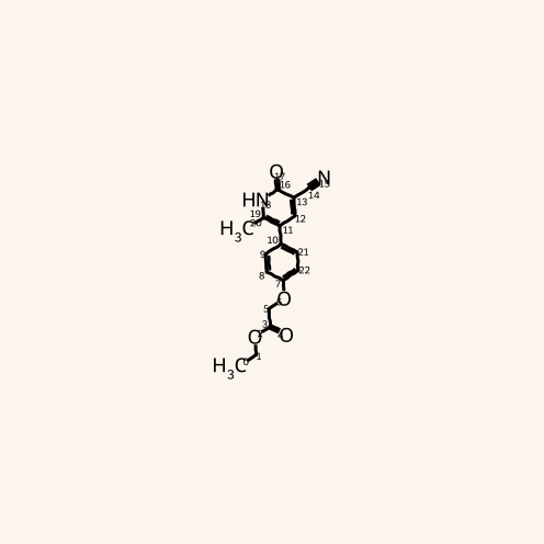 CCOC(=O)COc1ccc(-c2cc(C#N)c(=O)[nH]c2C)cc1